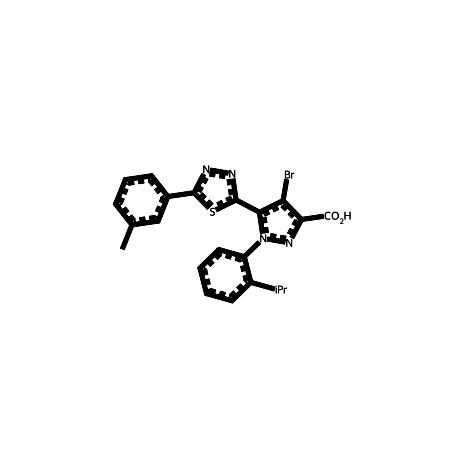 Cc1cccc(-c2nnc(-c3c(Br)c(C(=O)O)nn3-c3ccccc3C(C)C)s2)c1